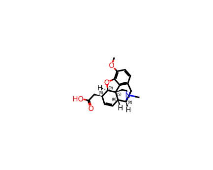 COc1ccc2c3c1O[C@@H]1[C@H](CC(=O)O)C=C[C@H]4[C@@H](C2)N(C)CC[C@]314